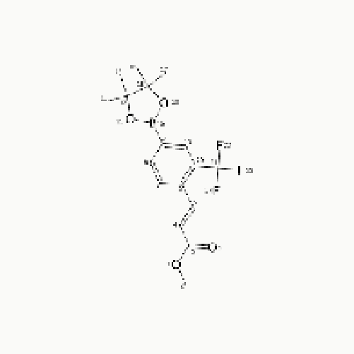 COC(=O)/C=C/c1ccc(B2OC(C)(C)C(C)(C)O2)cc1C(F)(F)F